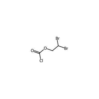 O=C(Cl)OCC(Br)Br